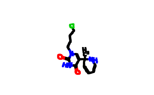 CC1(c2cn(CCCCCl)c(=O)[nH]c2=O)C=CC=CN1